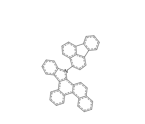 c1ccc2c(c1)-c1cccc3c(-n4c5ccccc5c5c6ccccc6c6c7ccccc7ccc6c54)ccc-2c13